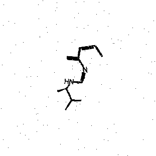 C=C(/C=C\C)/N=C\N[C@H](C)C(C)C